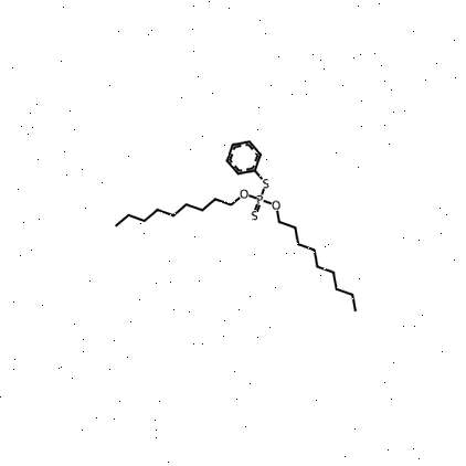 CCCCCCCCCOP(=S)(OCCCCCCCCC)Sc1ccccc1